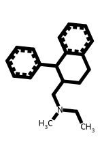 CCN(C)CC1CCc2ccccc2C1c1ccccc1